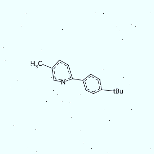 Cc1ccc(-c2ccc(C(C)(C)C)cc2)nc1